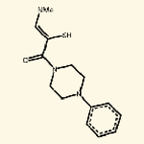 CN/C=C(\S)C(=O)N1CCN(c2ccccc2)CC1